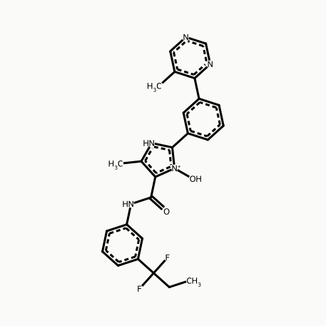 CCC(F)(F)c1cccc(NC(=O)c2c(C)[nH]c(-c3cccc(-c4ncncc4C)c3)[n+]2O)c1